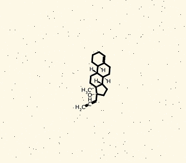 C=C=C[C@]1(O)CC[C@H]2[C@@H]3CCC4=CCCC[C@@H]4[C@H]3CC[C@@]21C